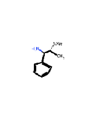 CN[C@H](C)[C@H](N)c1ccccc1